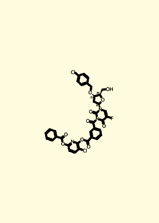 O=C(Oc1ccc(Cl)c(OC(=O)c2cccc(C(=O)n3c(=O)c(F)cn([C@H]4C[C@H](OCc5ccc(Cl)cc5)[C@@H](CO)O4)c3=O)c2)n1)c1ccccc1